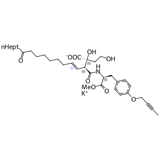 CC#CCOc1ccc(C[C@H](NC(=O)[C@@H](/C=C/CCCCCCC(=O)CCCCCCC)[C@@](O)(CCO)C(=O)[O-])C(=O)OC)cc1.[K+]